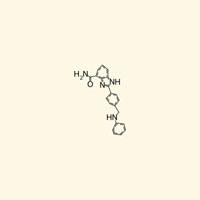 NC(=O)c1cccc2[nH]c(-c3ccc(CNc4ccccc4)cc3)nc12